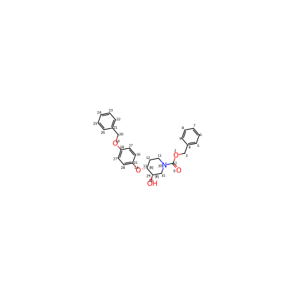 O=C(OCc1ccccc1)N1CC[C@@H](Oc2ccc(OCc3ccccc3)cc2)[C@H](O)C1